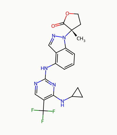 C[C@]1(n2ncc3c(Nc4ncc(C(F)(F)F)c(NC5CC5)n4)cccc32)CCOC1=O